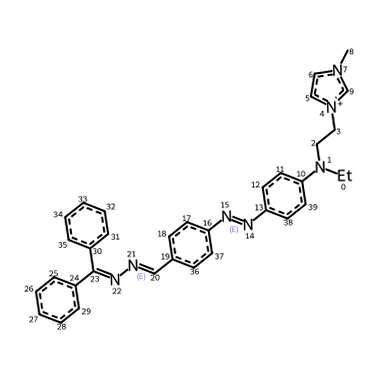 CCN(CC[n+]1ccn(C)c1)c1ccc(/N=N/c2ccc(/C=N/N=C(c3ccccc3)c3ccccc3)cc2)cc1